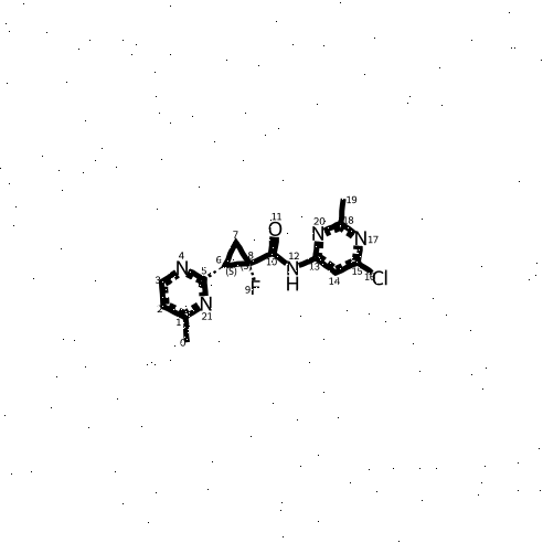 Cc1ccnc([C@@H]2C[C@@]2(F)C(=O)Nc2cc(Cl)nc(C)n2)n1